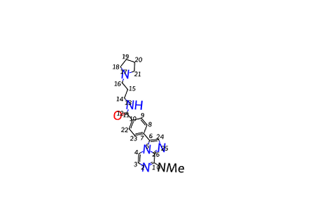 CNc1nccn2c(-c3ccc(C(=O)NCCCN4CCCC4)cc3)cnc12